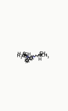 CC(C)NCCC/C=C/c1ccc2c(c1)/C(=N/OC(C)(C)C)c1ccccc1-2